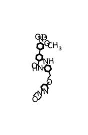 COc1cc(-c2ccc3c(c2)Nc2ccc(CCOc4ccc(N5CCOCC5)nc4)cc2NC3=O)ccc1[N+](=O)[O-]